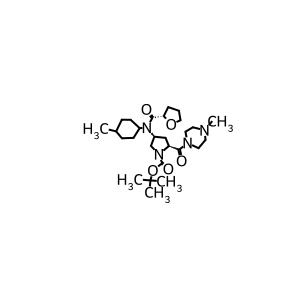 CC1CCC(N(C(=O)[C@@H]2CCCO2)[C@H]2C[C@@H](C(=O)N3CCN(C)CC3)N(C(=O)OC(C)(C)C)C2)CC1